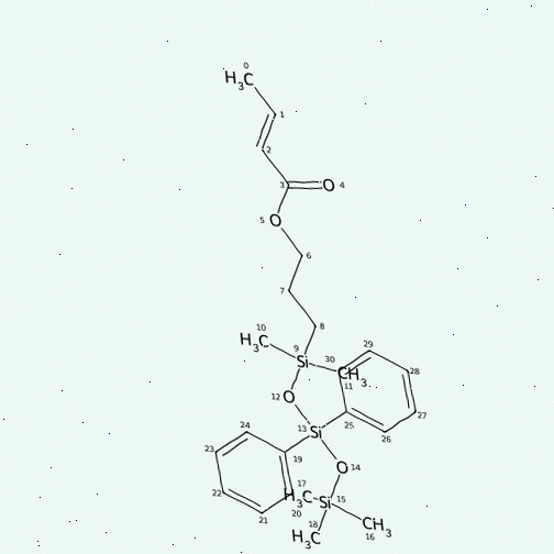 CC=CC(=O)OCCC[Si](C)(C)O[Si](O[Si](C)(C)C)(c1ccccc1)c1ccccc1